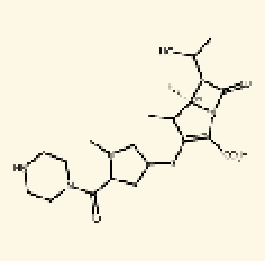 CC(O)C1C(=O)N2C(C(=O)O)=C(SC3CC(C(=O)N4CCNCC4)N(C)C3)C(C)[C@@H]12